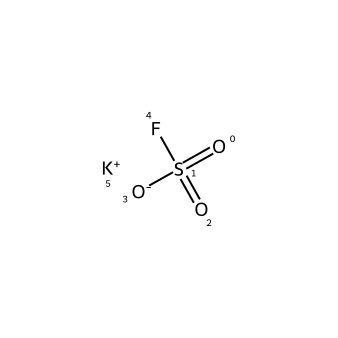 O=S(=O)([O-])F.[K+]